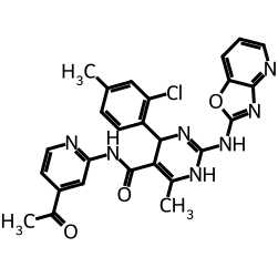 CC(=O)c1ccnc(NC(=O)C2=C(C)NC(Nc3nc4ncccc4o3)=NC2c2ccc(C)cc2Cl)c1